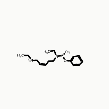 CCNC/C=C\CCN(CC)P(O)Oc1ccccc1